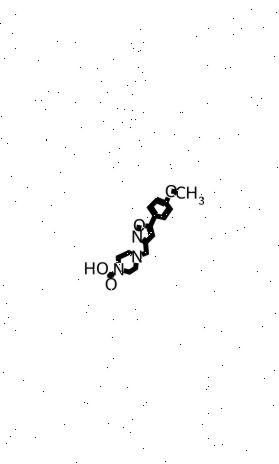 COc1ccc(-c2cc(CN3CCN(C(=O)O)CC3)no2)cc1